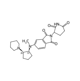 CN(c1ccc2c(c1)C(=O)N(C1CCC(=O)NC1=O)C2=O)[C@H]1CCC[C@H]1N1CCCCC1